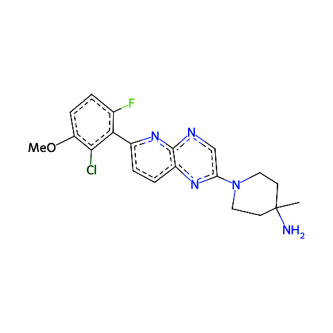 COc1ccc(F)c(-c2ccc3nc(N4CCC(C)(N)CC4)cnc3n2)c1Cl